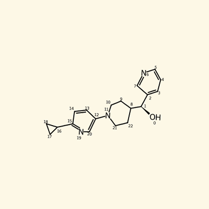 O[C@H](c1cccnc1)C1CCN(c2ccc(C3CC3)nc2)CC1